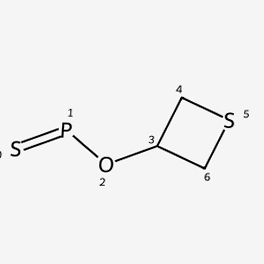 S=POC1CSC1